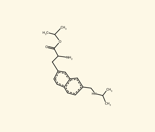 CC(C)NCc1ccc2ccc(CC(N)C(=O)OC(C)C)cc2c1